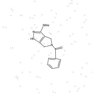 CNc1n[nH]c2c1CN(C(=O)c1ccccc1)C2